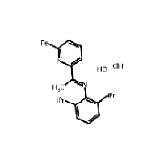 CC(=Nc1c(C(C)C)cccc1C(C)C)c1ccc[c]([Fe])n1.Cl.Cl